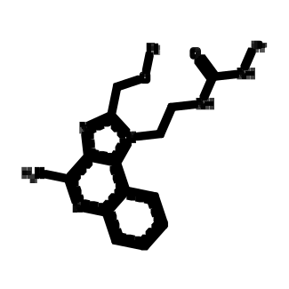 CCOCc1nc2c(N)nc3ccccc3c2n1CCNC(=O)NC(C)C